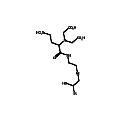 CCC(O)[CH2][Ac][CH2]CNC(=O)C(CCS(=O)(=O)O)N(CC(=O)O)CC(=O)O